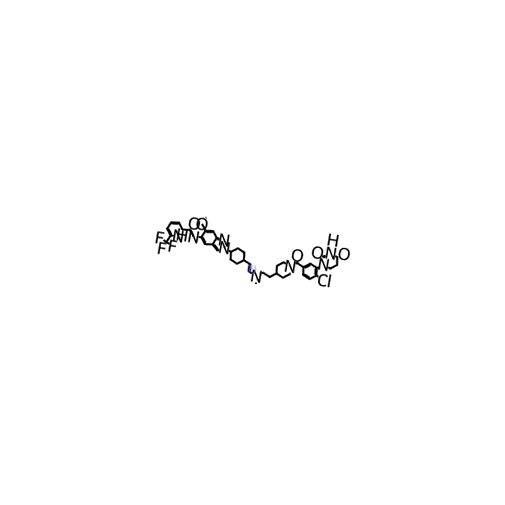 COc1cc2nn(C3CCC(/C=C/N(C)CCC4CCN(C(=O)c5ccc(Cl)c(N6CCC(=O)NC6=O)c5)CC4)CC3)cc2cc1NC(=O)c1cccc(C(F)(F)F)n1